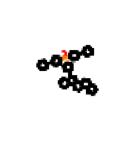 O=P(c1ccc(-c2ccccc2)cc1)(c1ccc(-c2ccccc2)cc1)c1ccc(-c2cc3c(ccc4c5ccccc5ccc43)c3ccccc23)cc1